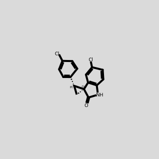 O=C1Nc2ccc(Cl)cc2[C@@]12C[C@@H]2c1ccc(Cl)cc1